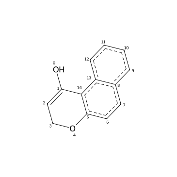 OC1=CCOc2ccc3ccccc3c21